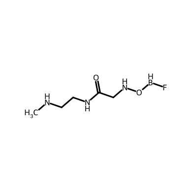 CNCCNC(=O)CNOBF